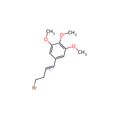 COc1cc(/C=C/CCBr)cc(OC)c1OC